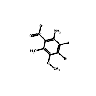 COc1c(C)c([N+](=O)[O-])c(N)c(I)c1Br